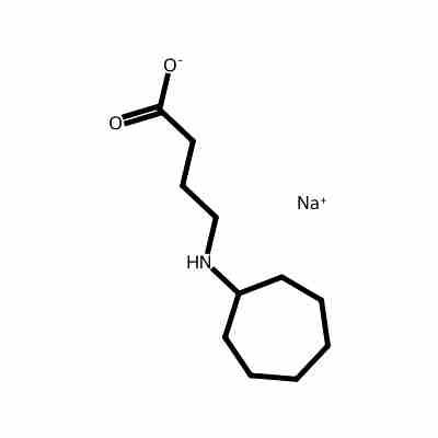 O=C([O-])CCCNC1CCCCCC1.[Na+]